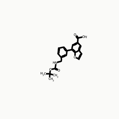 CC(C)(C)OC(=O)NCc1cccc(-c2cc(C(=O)O)cc3ccoc23)c1